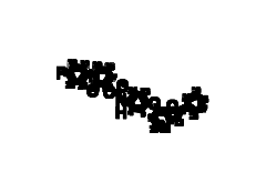 O=C(Nc1ccc(Oc2ccnc3cc(-c4ccccc4)oc23)cc1)Oc1cccn(-c2ccc(F)cc2)c1=O